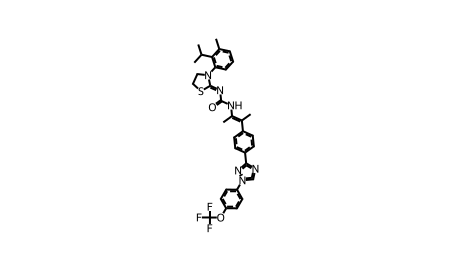 C/C(NC(=O)/N=C1\SCCN1c1cccc(C)c1C(C)C)=C(/C)c1ccc(-c2ncn(-c3ccc(OC(F)(F)F)cc3)n2)cc1